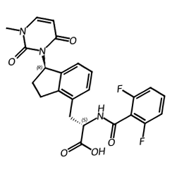 Cn1ccc(=O)n([C@@H]2CCc3c(C[C@H](NC(=O)c4c(F)cccc4F)C(=O)O)cccc32)c1=O